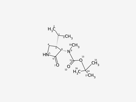 CC(C)[C@H]1CNC(=O)[C@H]1N(C)C(=O)OC(C)(C)C